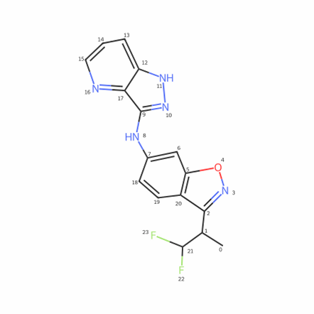 CC(c1noc2cc(Nc3n[nH]c4cccnc34)ccc12)C(F)F